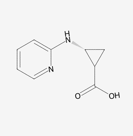 O=C(O)C1C[C@H]1Nc1ccccn1